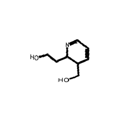 OCCC1N=CC=CC1CO